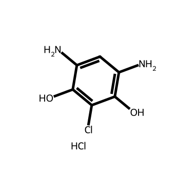 Cl.Nc1cc(N)c(O)c(Cl)c1O